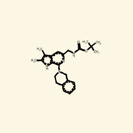 Cc1[nH]c2c(N3CCc4ccccc4C3)nc(CNC(=O)OC(C)(C)C)cc2c1C